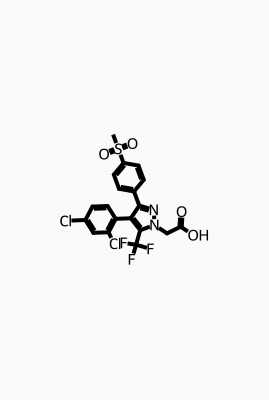 CS(=O)(=O)c1ccc(-c2nn(CC(=O)O)c(C(F)(F)F)c2-c2ccc(Cl)cc2Cl)cc1